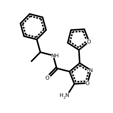 CC(NC(=O)c1c(-c2ccco2)noc1N)c1ccccc1